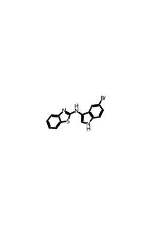 Brc1ccc2[nH]cc(Nc3nc4ccccc4s3)c2c1